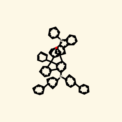 c1cccc(C2(C3C=CC=CC3)c3ccccc3-c3c(N(c4ccc(-c5ccccc5)cc4)c4ccc(-c5ccccc5)cc4)ccc(-c4ccc5c(c4)c4ccccc4n5-c4ccccc4)c32)c#1